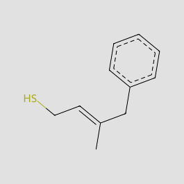 CC(=CCS)Cc1ccccc1